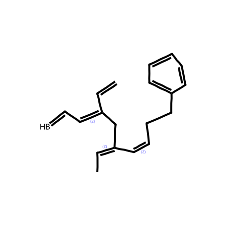 B=C/C=C(\C=C)CC(/C=C\CCc1ccccc1)=C/C